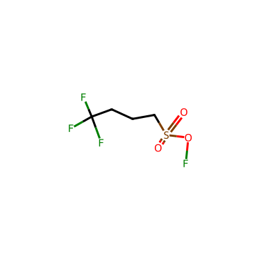 O=S(=O)(CCCC(F)(F)F)OF